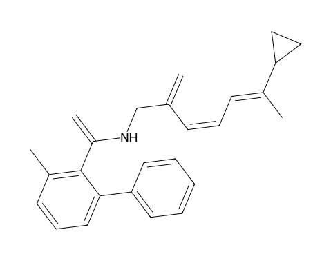 C=C(/C=C\C=C(/C)C1CC1)CNC(=C)c1c(C)cccc1-c1ccccc1